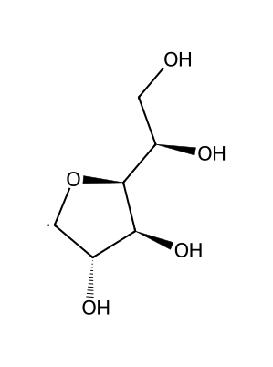 OC[C@@H](O)[C@@H]1O[CH][C@@H](O)[C@@H]1O